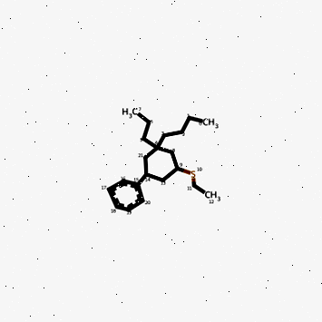 CCCCC1(CCC)CC(SCC)CC(c2ccccc2)C1